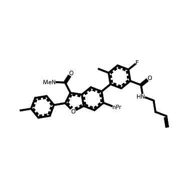 C=CCCNC(=O)c1cc(-c2cc3c(C(=O)NC)c(-c4ccc(C)cc4)oc3cc2CCC)c(C)cc1F